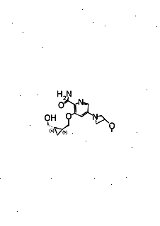 COC1CN(c2cnc(C(N)=O)c(OC[C@H]3C[C@@H]3CO)c2)C1